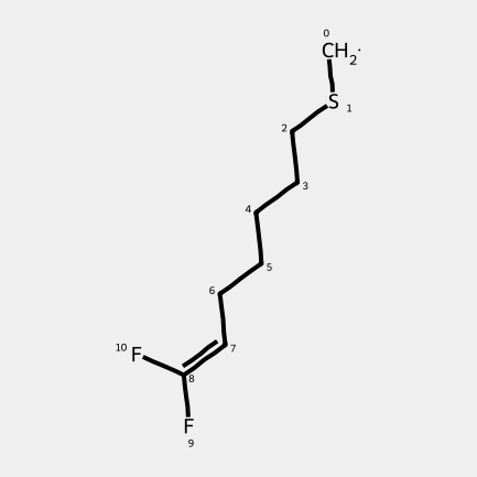 [CH2]SCCCCCC=C(F)F